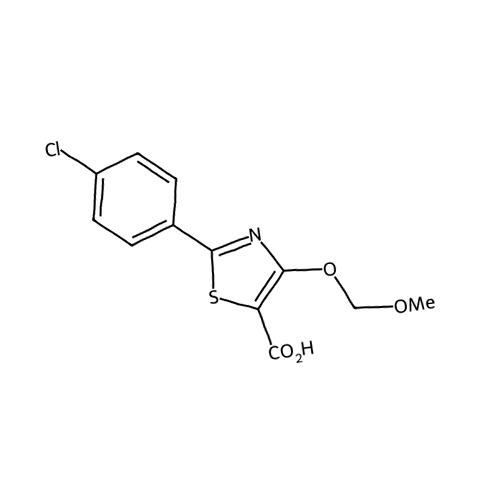 COCOc1nc(-c2ccc(Cl)cc2)sc1C(=O)O